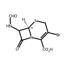 O=CNC1C(=O)N2C(C(=O)O)=C(Br)CS[C@H]12